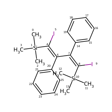 C[Si](C)(C)C(I)=C(C(=C(I)[Si](C)(C)C)c1ccccc1)c1ccccc1